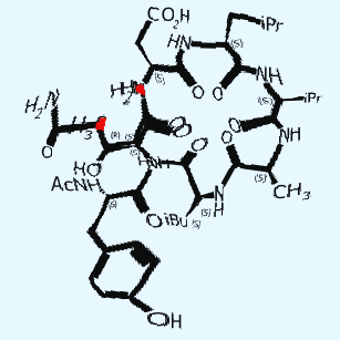 CC[C@H](C)[C@H](NC(=O)[C@H](C)NC(=O)[C@@H](NC(=O)[C@H](CC(C)C)NC(=O)[C@H](CC(=O)O)NC(=O)[C@@H](NC(=O)[C@H](Cc1ccc(O)cc1)NC(C)=O)[C@@H](C)O)C(C)C)C(=O)N[C@@H](CCC(N)=O)C(N)=O